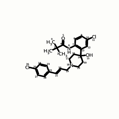 CC(C)(C)C(=O)Nc1ccc(Cl)cc1C1(O)CCN(CC=Cc2ccc(Cl)cc2)CC1